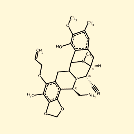 C=CCOc1c(C)c2c(c3c1CC1C4c5c(cc(C)c(OC)c5O)C[C@@H]([C@H](C#N)N1[C@H]3CN)N4C)OCO2